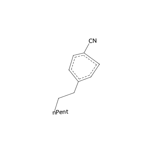 CCCCCCCc1ccc(C#N)cc1